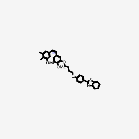 COc1ccc(/C=C\c2cc(C)c(C)c(OC)c2)cc1OCCCCOc1ccc(-c2nc3ccccc3s2)cc1